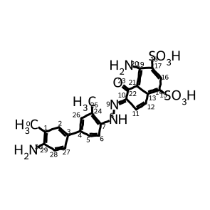 Cc1cc(-c2ccc(N/N=C3\C=Cc4c(S(=O)(=O)O)cc(S(=O)(=O)O)c(N)c4C3=O)c(C)c2)ccc1N